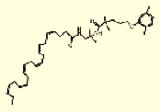 CC/C=C\C/C=C\C/C=C\C/C=C\C/C=C\C/C=C\CCC(=O)NCC(C)(C)NC(=O)C(C)(C)CCCOc1cc(C)ccc1C